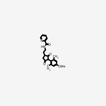 COc1cc(C)c(C2C(=O)CC(CCNC(=O)c3ccccn3)C2=O)c(C)c1